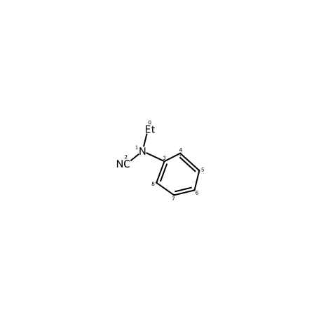 CCN(C#N)c1[c]cccc1